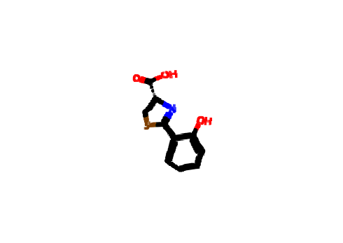 O=C(O)[C@H]1CSC(c2ccccc2O)=N1